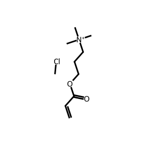 C=CC(=O)OCCC[N+](C)(C)C.CCl